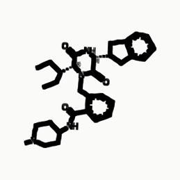 CCC(CC)[C@@H]1C(=O)N[C@H](C2Cc3ccccc3C2)C(=O)N1Cc1ccccc1C(=O)NC1CCN(C)CC1